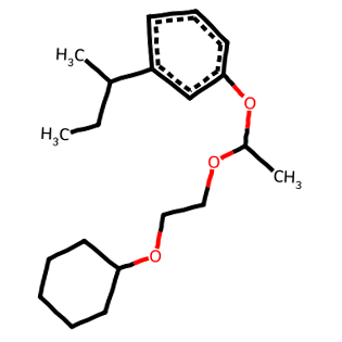 CCC(C)c1cccc(OC(C)OCCOC2CCCCC2)c1